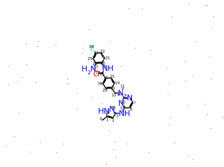 Cc1cc(Nc2ccnc(N(C)Cc3ccc(C(=O)Nc4ccc(F)cc4N)cc3)n2)n[nH]1